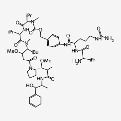 CCC(C)C(C(CC(=O)N1CCC[C@H]1C(OC)C(C)C(=O)NC(C)C(O)c1ccccc1)OC)N(C)C(=O)C(NC(=O)C(C(C)C)N(C)C(=O)OCc1ccc(NC(=O)C(CCCNC(N)=O)NC(=O)C(N)C(C)C)cc1)C(C)C